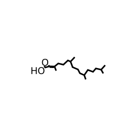 CC(CCCC(C)CCCC(C)CCCC(C)C)=C1OC1O